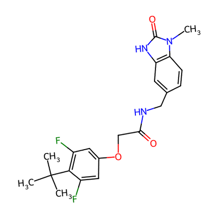 Cn1c(=O)[nH]c2cc(CNC(=O)COc3cc(F)c(C(C)(C)C)c(F)c3)ccc21